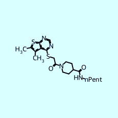 CCCCCNC(=O)C1CCN(C(=O)CSc2ncnc3sc(C)c(C)c23)CC1